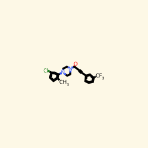 Cc1ccc(Cl)cc1N1CCN(C(=O)C#Cc2cccc(C(F)(F)F)c2)CC1